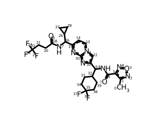 Cc1nonc1C(=O)NC(c1cn2ccc(C(NC(=O)CCC(F)(F)F)C3CC3)nc2n1)C1CCC(F)(F)CC1